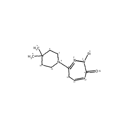 CCN1N=C(N2CCC(C)(C)CC2)CC=CC1=O